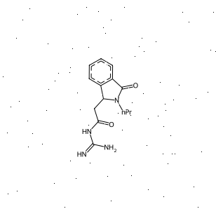 CCCN1C(=O)c2ccccc2C1CC(=O)NC(=N)N